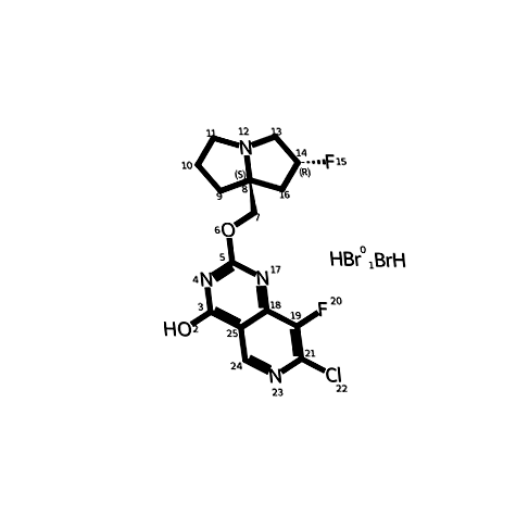 Br.Br.Oc1nc(OC[C@@]23CCCN2C[C@H](F)C3)nc2c(F)c(Cl)ncc12